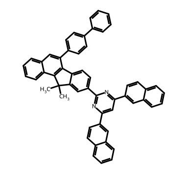 CC1(C)c2cc(-c3nc(-c4ccc5ccccc5c4)cc(-c4ccc5ccccc5c4)n3)ccc2-c2c(-c3ccc(-c4ccccc4)cc3)cc3ccccc3c21